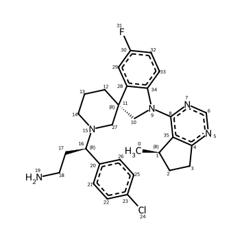 C[C@@H]1CCc2ncnc(N3C[C@]4(CCCN([C@H](CCN)c5ccc(Cl)cc5)C4)c4cc(F)ccc43)c21